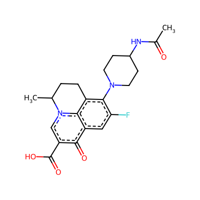 CC(=O)NC1CCN(c2c(F)cc3c(=O)c(C(=O)O)cn4c3c2CCC4C)CC1